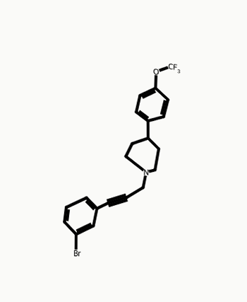 FC(F)(F)Oc1ccc(C2CCN(CC#Cc3cccc(Br)c3)CC2)cc1